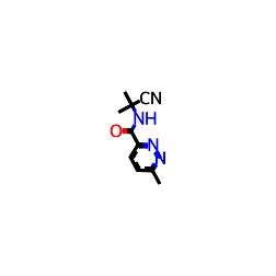 Cc1ccc(C(=O)NC(C)(C)C#N)nn1